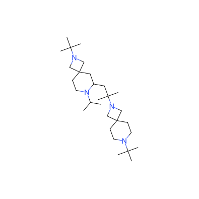 CC(C)N1CCC2(CC1CC(C)(C)N1CC3(CCN(C(C)(C)C)CC3)C1)CN(C(C)(C)C)C2